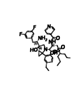 CCCC(CCC)S(=O)(=O)C[C@@H](NC(=O)c1ccncc1)C(O)N(C[C@@H](O)[C@@H](N)Cc1cc(F)cc(F)c1)C1(c2cccc(CC)c2)CC1